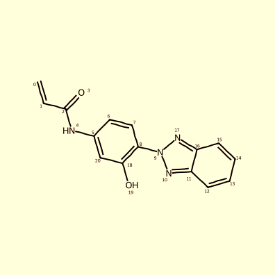 C=CC(=O)Nc1ccc(-n2nc3ccccc3n2)c(O)c1